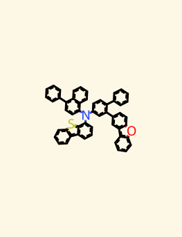 c1ccc(-c2ccc(N(c3ccc(-c4ccccc4)c4ccccc34)c3cccc4c3sc3ccccc34)cc2-c2ccc3oc4ccccc4c3c2)cc1